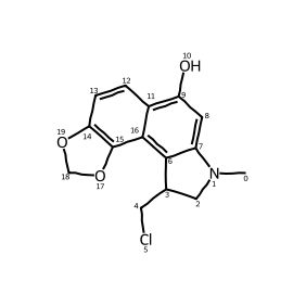 CN1CC(CCl)c2c1cc(O)c1ccc3c(c21)OCO3